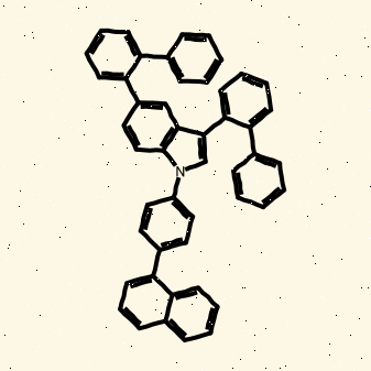 c1ccc(-c2ccccc2-c2ccc3c(c2)c(-c2ccccc2-c2ccccc2)cn3-c2ccc(-c3cccc4ccccc34)cc2)cc1